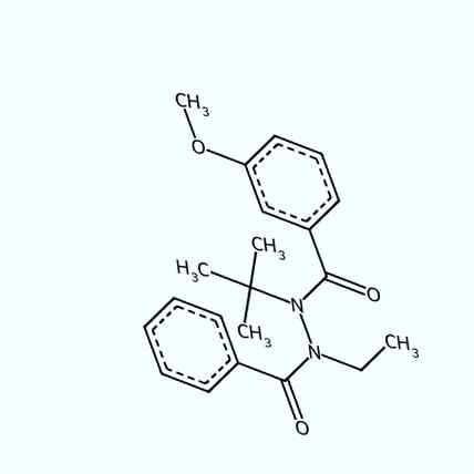 CCN(C(=O)c1ccccc1)N(C(=O)c1cccc(OC)c1)C(C)(C)C